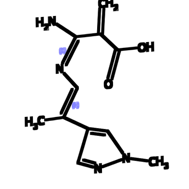 C=C(C(=O)O)/C(N)=N\C=C(/C)c1cnn(C)c1